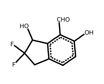 O=Cc1c(O)ccc2c1C(O)C(F)(F)C2